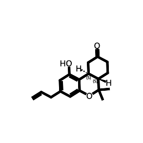 C=CCc1cc(O)c2c(c1)OC(C)(C)[C@H]1CCC(=O)C[C@H]21